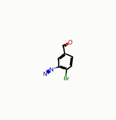 N#[N+]c1cc(C=O)ccc1Br